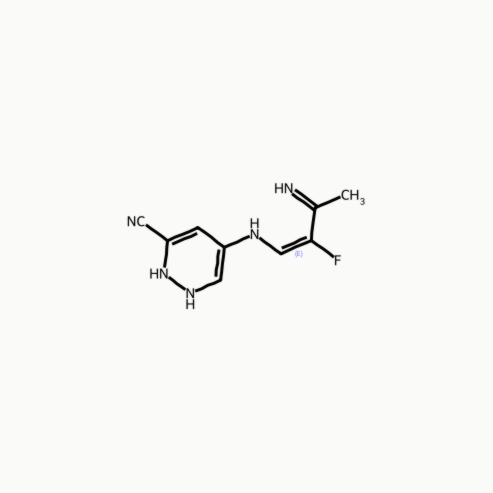 CC(=N)/C(F)=C\NC1=CNNC(C#N)=C1